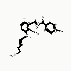 CCCCCCCCCCCCCCOc1cccc(CNC(=O)c2cc[n+](CCC)cc2)c1C.[I-]